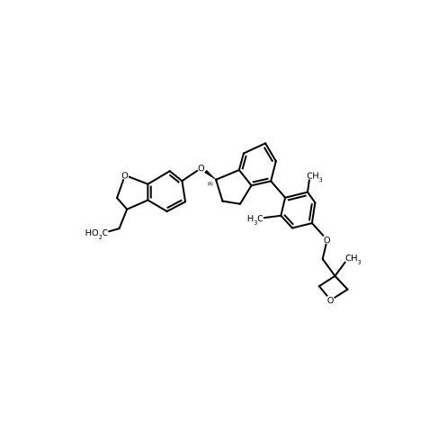 Cc1cc(OCC2(C)COC2)cc(C)c1-c1cccc2c1CC[C@H]2Oc1ccc2c(c1)OCC2CC(=O)O